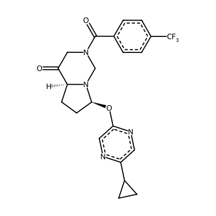 O=C1CN(C(=O)c2ccc(C(F)(F)F)cc2)CN2[C@@H](Oc3cnc(C4CC4)cn3)CC[C@@H]12